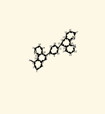 Cc1cccc2cc(-c3ccc(-c4cc5cccnc5c5ncccc45)cc3)c3cccnc3c12